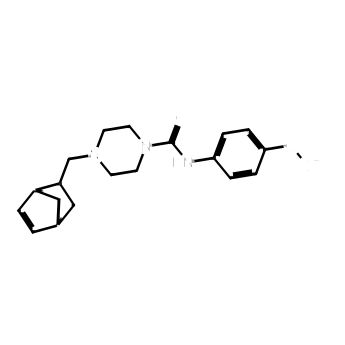 O=C(Nc1ccc(OC(F)(F)F)cc1)N1CCN(CC2CC3C=CC2C3)CC1